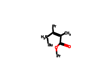 CCC(C)[SiH2]C(=C(C)C(=O)OC(C)C)C(C)C